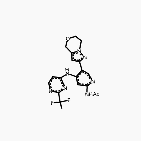 CC(=O)Nc1cc(Nc2ccnc(C(C)(F)F)n2)c(-c2cc3n(n2)CCOC3)cn1